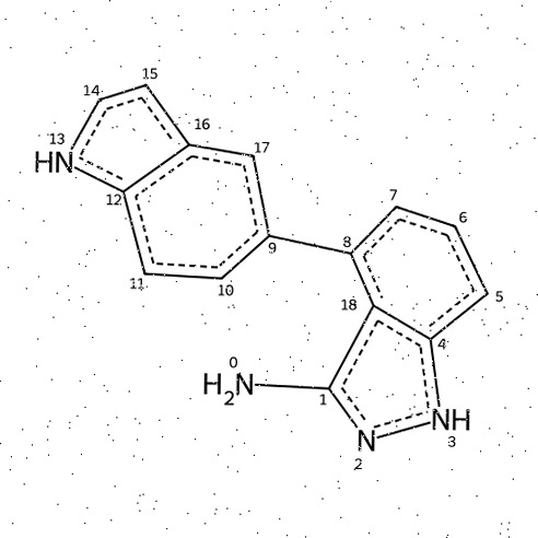 Nc1n[nH]c2cccc(-c3ccc4[nH]ccc4c3)c12